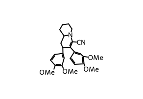 COc1ccc(C2=C(C#N)N3CCCCC3CC2c2ccc(OC)c(OC)c2)cc1OC